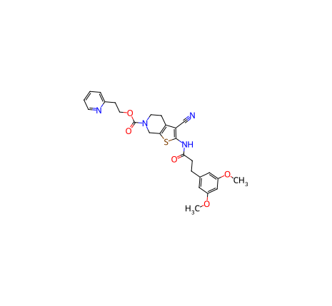 COc1cc(CCC(=O)Nc2sc3c(c2C#N)CCN(C(=O)OCCc2ccccn2)C3)cc(OC)c1